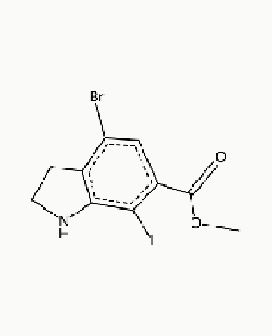 COC(=O)c1cc(Br)c2c(c1I)NCC2